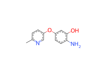 Cc1ccc(Oc2ccc(N)c(O)c2)cn1